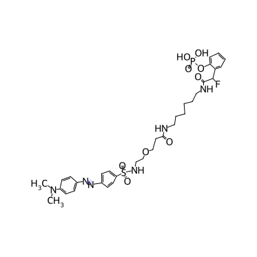 CN(C)c1ccc(/N=N/c2ccc(S(=O)(=O)NCCOCCC(=O)NCCCCCCNC(=O)C(F)c3ccccc3OP(=O)(O)O)cc2)cc1